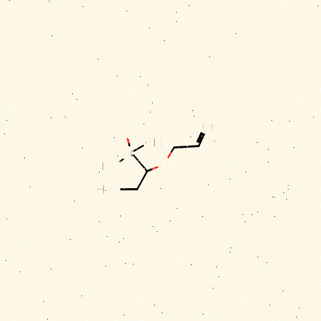 C=CCOC(CC)[Si](C)(C)[O]